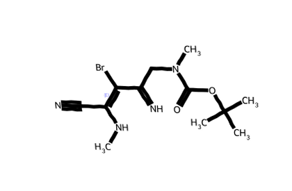 CN/C(C#N)=C(/Br)C(=N)CN(C)C(=O)OC(C)(C)C